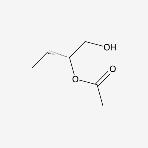 CC[C@H](CO)OC(C)=O